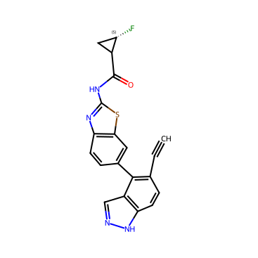 C#Cc1ccc2[nH]ncc2c1-c1ccc2nc(NC(=O)C3C[C@@H]3F)sc2c1